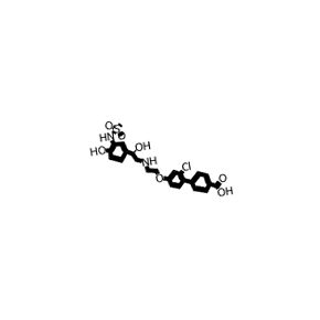 CS(=O)(=O)Nc1cc([C@H](O)CNCCOc2ccc(-c3ccc(C(=O)O)cc3)c(Cl)c2)ccc1O